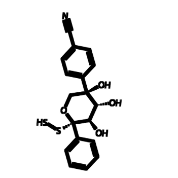 N#Cc1ccc([C@@]2(O)CO[C@](SS)(c3ccccc3)[C@H](O)[C@H]2O)cc1